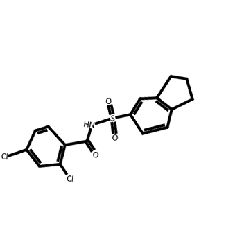 O=C(NS(=O)(=O)c1ccc2c(c1)CCC2)c1ccc(Cl)cc1Cl